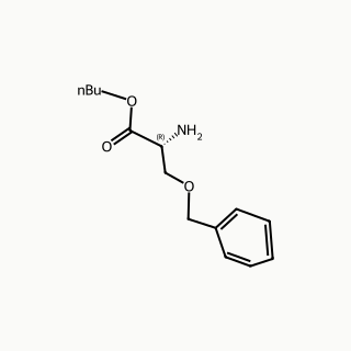 CCCCOC(=O)[C@H](N)COCc1ccccc1